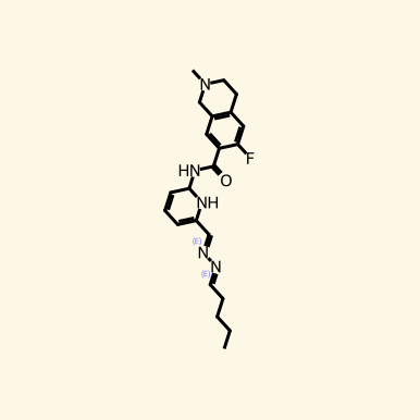 CCCC/C=N/N=C/C1=CC=CC(NC(=O)c2cc3c(cc2F)CCN(C)C3)N1